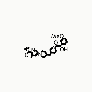 COc1cccc(C(O)C(=O)N2CCC(CC3CCN(c4cnc(C(=O)N(C)C)c(C)c4)CC3)CC2)c1